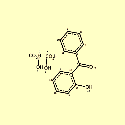 O=C(O)O.O=C(O)O.O=C(c1ccccc1)c1ccccc1O